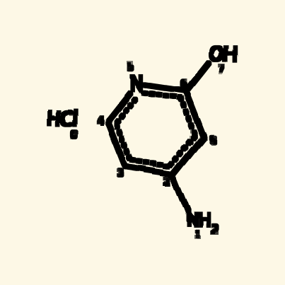 Cl.Nc1ccnc(O)c1